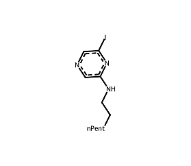 CCCCCCCNc1cncc(I)n1